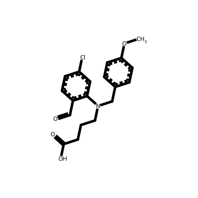 COc1ccc(CN(CCCC(=O)O)c2cc(Cl)ccc2C=O)cc1